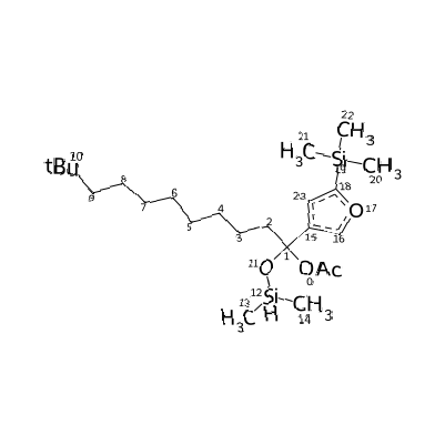 CC(=O)OC(CCCCCCCCC(C)(C)C)(O[SiH](C)C)c1coc([Si](C)(C)C)c1